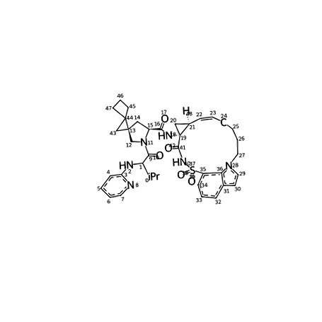 CC(C)C(Nc1ccccn1)C(=O)N1C[C@@]2(C[C@H]1C(=O)N[C@]13C[C@H]1/C=C\CCCCn1ccc4cccc(c41)S(=O)(=O)NC3=O)CC21CCC1